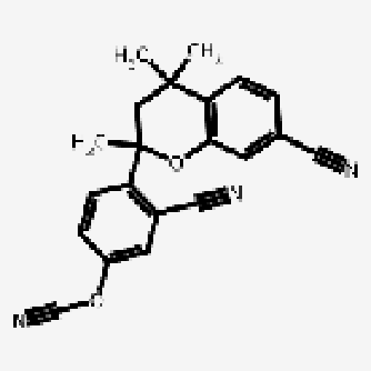 CC1(C)CC(C)(c2ccc(OC#N)cc2C#N)Oc2cc(C#N)ccc21